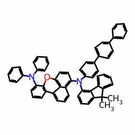 CC1(C)c2ccccc2-c2c(N(c3ccc(-c4ccc(-c5ccccc5)cc4)cc3)c3ccc4c5c(cccc35)-c3cccc(N(c5ccccc5)c5ccccc5)c3O4)cccc21